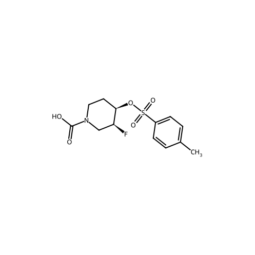 Cc1ccc(S(=O)(=O)O[C@@H]2CCN(C(=O)O)C[C@@H]2F)cc1